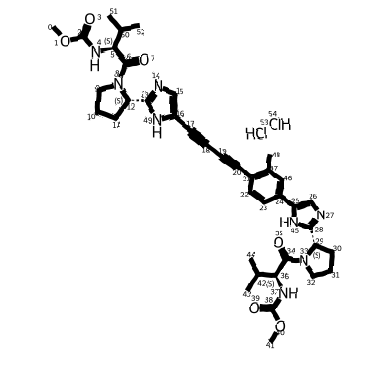 COC(=O)N[C@H](C(=O)N1CCC[C@H]1c1ncc(C#CC#Cc2ccc(-c3cnc([C@@H]4CCCN4C(=O)[C@@H](NC(=O)OC)C(C)C)[nH]3)cc2C)[nH]1)C(C)C.Cl.Cl